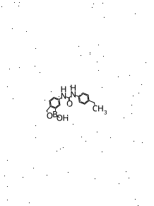 CCc1ccc(NC(=O)Nc2ccc3c(c2)B(O)OC3)cc1